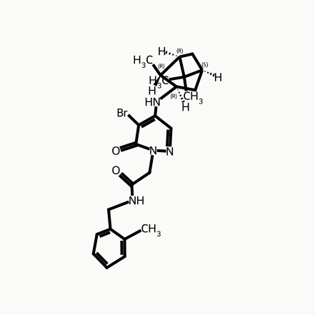 Cc1ccccc1CNC(=O)Cn1ncc(N[C@@H]2C[C@@H]3C[C@H]([C@H]2C)C3(C)C)c(Br)c1=O